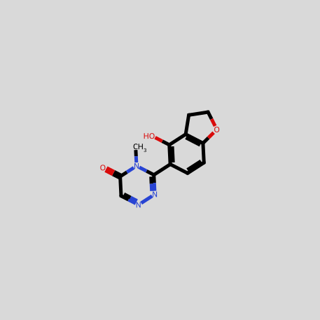 Cn1c(-c2ccc3c(c2O)CCO3)nncc1=O